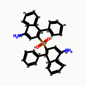 Nc1cc(S(=O)(=O)c2cc(N)c3ccccc3c2-c2ccccc2)c(-c2ccccc2)c2ccccc12